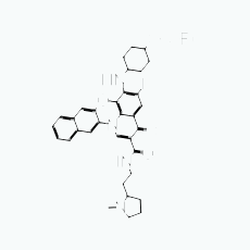 CCOC(=O)C1CCC(Nc2c(F)cc3c(=O)c(C(=O)NCCC4CCCN4C)cn4c3c2Oc2cc3ccccc3cc2-4)CC1